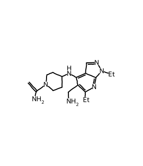 C=C(N)N1CCC(Nc2c(CN)c(CC)nc3c2cnn3CC)CC1